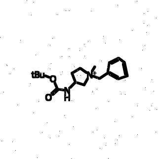 CC(C)(C)OC(=O)NC1CC[N+](C)(Cc2ccccc2)C1